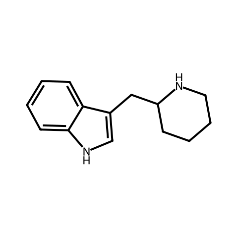 c1ccc2c(CC3CCCCN3)c[nH]c2c1